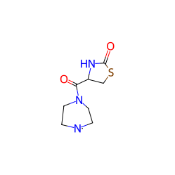 O=C1NC(C(=O)N2CC[N]CC2)CS1